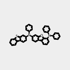 c1ccc(N(c2ccc3c(c2)oc2c(N(c4ccccc4)c4ccccc4)cccc23)c2ccc3c(c2)sc2ccccc23)cc1